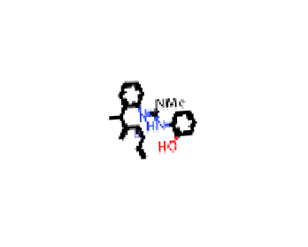 C=C/C=C\C(=C)C(C)c1ccccc1/N=C(\NC)Nc1ccccc1O